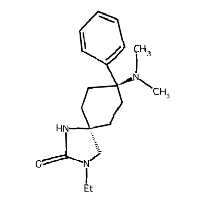 CCN1C[C@]2(CC[C@](c3ccccc3)(N(C)C)CC2)NC1=O